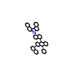 c1ccc(-c2c3ccccc3c(-c3cccc4c(-n5c6ccc7ccccc7c6c6c7ccccc7ccc65)cccc34)c3ccc(-c4cccc5ccccc45)cc23)cc1